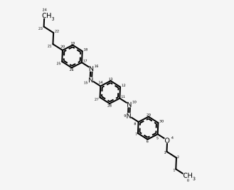 CCCCOc1ccc(/N=N/c2ccc(/N=N/c3ccc(CCCC)cc3)cc2)cc1